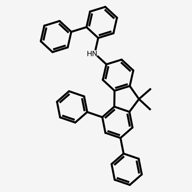 CC1(C)c2ccc(Nc3ccccc3-c3ccccc3)cc2-c2c(-c3ccccc3)cc(-c3ccccc3)cc21